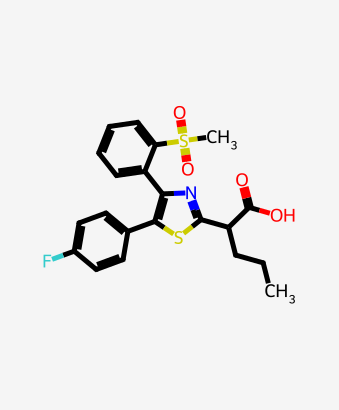 CCCC(C(=O)O)c1nc(-c2ccccc2S(C)(=O)=O)c(-c2ccc(F)cc2)s1